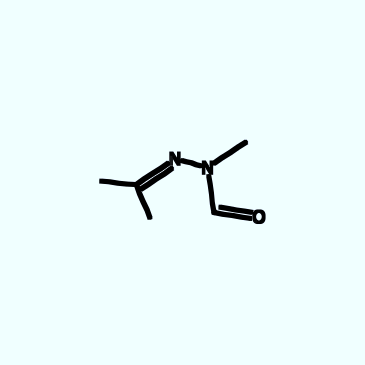 CC(C)=NN(C)C=O